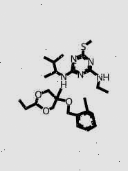 CCC1OCC(C)(OCc2ccccc2C)CO1.CCNc1nc(NC(C)C(C)C)nc(SC)n1